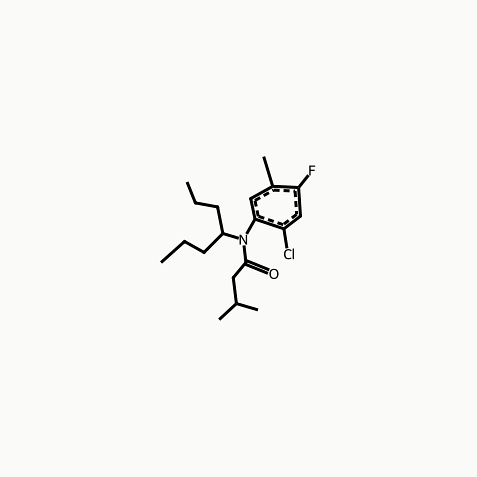 CCCC(CCC)N(C(=O)CC(C)C)c1cc(C)c(F)cc1Cl